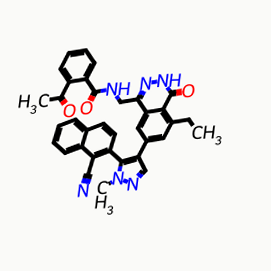 CCc1cc(-c2cnn(C)c2-c2ccc3ccccc3c2C#N)cc2c(CNC(=O)c3ccccc3C(C)=O)n[nH]c(=O)c12